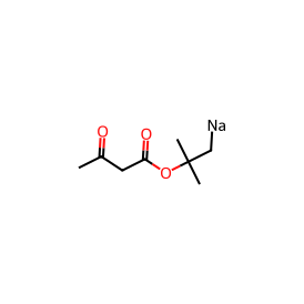 CC(=O)CC(=O)OC(C)(C)[CH2][Na]